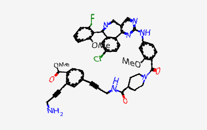 COC(=O)c1ccc(C#CCNC(=O)C2CCN(C(=O)c3ccc(Nc4ncc5c(n4)-c4ccc(Cl)cc4C(c4c(F)cccc4OC)=NC5)cc3OC)CC2)cc1C#CCN